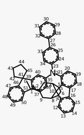 CCC1CC2CCCC(C1)C21c2ccccc2-c2cccc(N(c3ccc(-c4ccccc4)cc3)c3ccc4c(c3)C3(CCCC3)c3ccccc3-4)c21